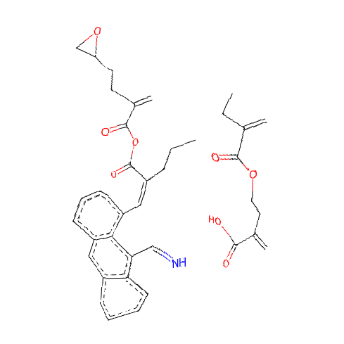 C=C(CCC1CO1)C(=O)OC(=O)C(=Cc1cccc2cc3ccccc3c(C=N)c12)CCC.C=C(CCOC(=O)C(=C)CC)C(=O)O